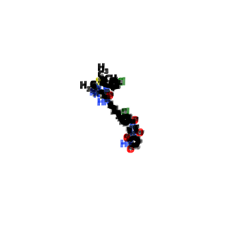 Cc1sc2c(c1C)C(c1ccc(Cl)cc1)=N[C@@H](CC(=O)NCCCCCCc1ccc(C(=O)N3CCN(C4CCCC(=O)NC4=O)C(=O)C3)cc1Cl)c1nnc(C)n1-2